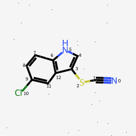 N#CSc1c[nH]c2ccc(Cl)cc12